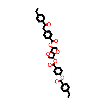 CCc1ccc(C(=O)Cc2ccc(C(=O)OC3COC4C(OC(=O)c5ccc(OC(=O)c6ccc(CC)cc6)cc5)COC34)cc2)cc1